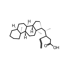 C=C=CC(CC(=O)O)[C@@H](C)[C@H]1CC[C@H]2[C@@H]3CC[C@@H]4CCCC[C@]4(C)[C@H]3CC[C@]12C